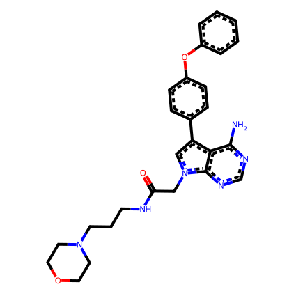 Nc1ncnc2c1c(-c1ccc(Oc3ccccc3)cc1)cn2CC(=O)NCCCN1CCOCC1